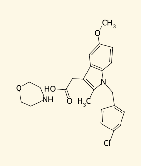 C1COCCN1.COc1ccc2c(c1)c(CC(=O)O)c(C)n2Cc1ccc(Cl)cc1